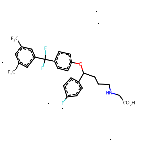 O=C(O)CNCCCC(Oc1ccc(C(F)(F)c2cc(C(F)(F)F)cc(C(F)(F)F)c2)cc1)c1ccc(F)cc1